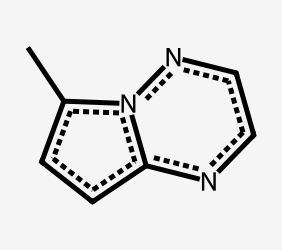 Cc1ccc2nccnn12